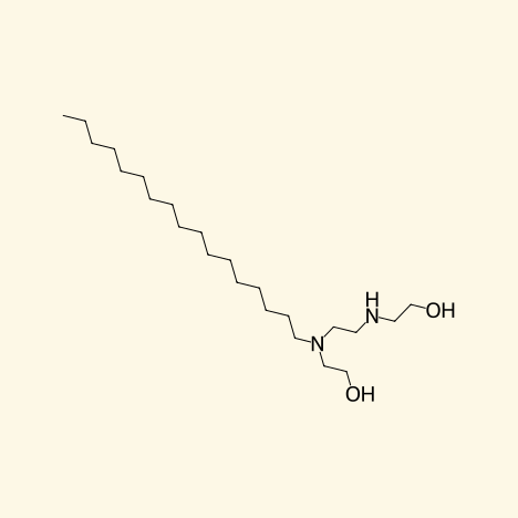 CCCCCCCCCCCCCCCCCN(CCO)CCNCCO